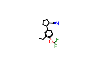 CCc1cc(C2CCCC2C#N)ccc1OC(F)F